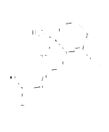 CC1=C(C/C=C/C(C)O)C(C)(C)CCC1